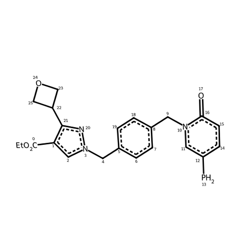 CCOC(=O)c1cn(Cc2ccc(Cn3cc(P)ccc3=O)cc2)nc1C1COC1